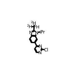 [2H]C([2H])([2H])c1nc2ccc(-c3ccnc(Cl)n3)cc2n1C(C)C